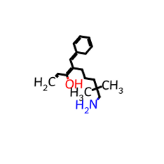 C=C/C(O)=C(\C=C1\C=CC=CC1)CCCC(C)(C)CN